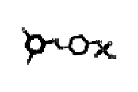 CC(C)(C)S(=O)(=O)N[C@H]1CC[C@H](CNc2cc(F)cc(F)c2)CC1